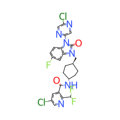 O=C(N[C@H]1CC[C@H](Cn2c(=O)n(-c3cnc(Cl)cn3)c3ccc(F)cc32)CC1)c1cc(Cl)cnc1C(F)F